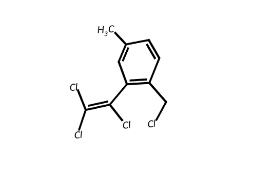 Cc1ccc(CCl)c(C(Cl)=C(Cl)Cl)c1